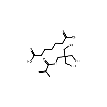 C=C(C)C(=O)OCC(CO)(CO)CO.O=C(O)CCCCCC(=O)O